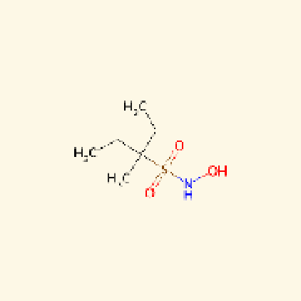 CCC(C)(CC)S(=O)(=O)NO